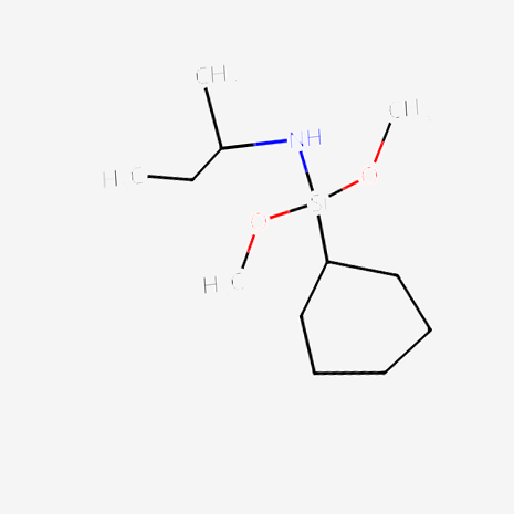 CCC(C)N[Si](OC)(OC)C1CCCCC1